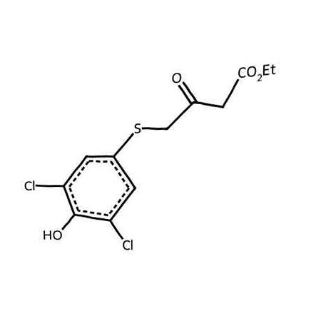 CCOC(=O)CC(=O)CSc1cc(Cl)c(O)c(Cl)c1